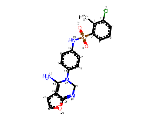 Cc1c(Cl)cccc1S(=O)(=O)Nc1ccc(N2CN=c3occc3=C2N)cc1